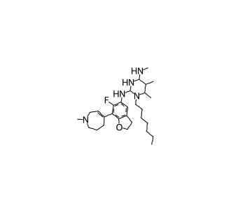 CCCCCCCN1C(Nc2cc3c(c(C4=CCN(C)CCC4)c2F)OCC3)NC(NC)C(C)C1C